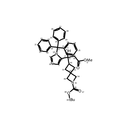 COC(=O)CC(O)(c1cncn1C(c1ccccc1)(c1ccccc1)c1ccccc1)C1CC2(C1)CN(C(=O)OC(C)(C)C)C2